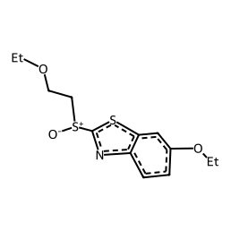 CCOCC[S+]([O-])c1nc2ccc(OCC)cc2s1